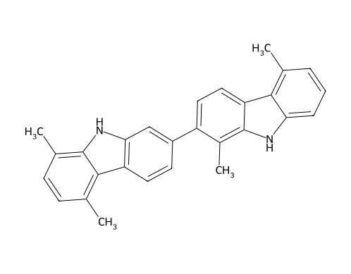 Cc1c(-c2ccc3c(c2)[nH]c2c(C)ccc(C)c23)ccc2c1[nH]c1cccc(C)c12